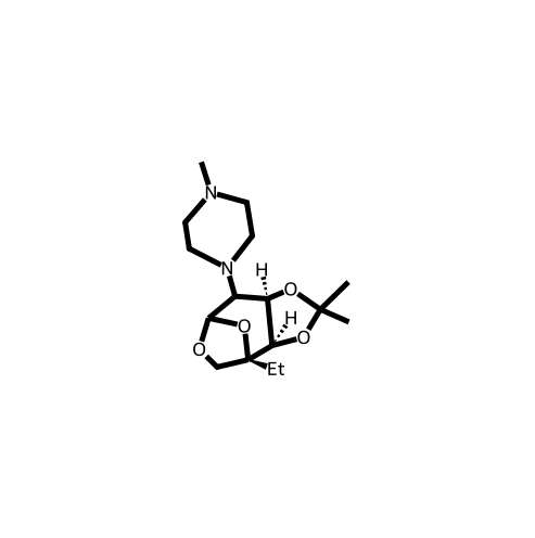 CC[C@@]12COC(O1)C(N1CCN(C)CC1)[C@H]1OC(C)(C)O[C@H]12